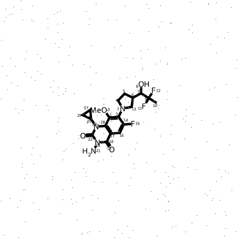 COc1c(N2CCC(C(O)C(C)(F)F)C2)c(F)cc2c(=O)n(N)c(=O)n(C3CC3)c12